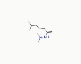 C=C(CCCC(C)C)NN(C)C